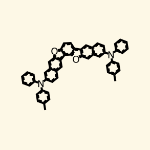 Cc1ccc(N(c2ccccc2)c2ccc3cc4c(cc3c2)oc2c4ccc3oc4cc5cc(N(c6ccccc6)c6ccc(C)cc6)ccc5cc4c32)cc1